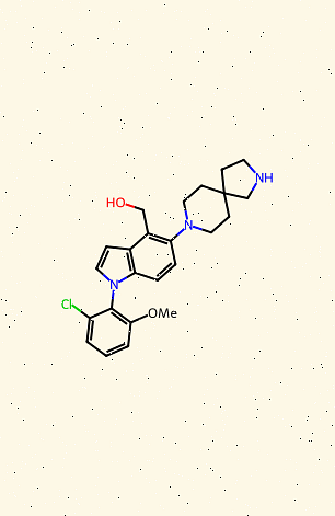 COc1cccc(Cl)c1-n1ccc2c(CO)c(N3CCC4(CCNC4)CC3)ccc21